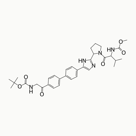 COC(=O)NC(C(=O)N1CCCC1c1ncc(-c2ccc(-c3ccc(C(=O)CNC(=O)OC(C)(C)C)cc3)cc2)[nH]1)C(C)C